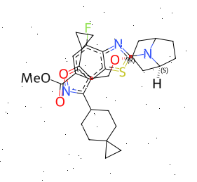 COC(=O)c1cc(F)c2nc(N3C4CC[C@H]3C[C@H](OCc3c(C5CCC6(CC5)CC6)noc3C3CC3)C4)sc2c1